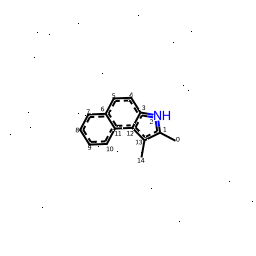 Cc1[nH]c2ccc3ccccc3c2c1C